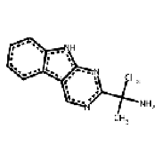 CC(C)(N)c1ncc2c(n1)[nH]c1ccccc12